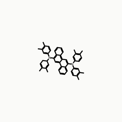 CC1=CCC(N(c2ccc(C)c(C)c2)c2cc3c4ccccc4c(N(c4ccc(C)c(C)c4)c4ccc(C)c(C)c4)cc3c3ccccc23)C=C1C